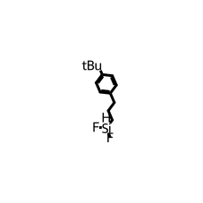 CC(C)(C)c1ccc(CCC[SiH](F)F)cc1